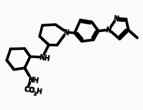 Cc1cnn(-c2ccc(N3CCCC(NC4CCCCC4NC(=O)O)C3)cc2)c1